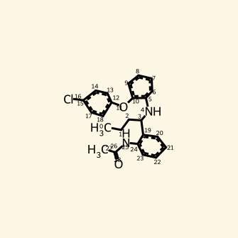 CCCC(Nc1ccccc1Oc1ccc(Cl)cc1)c1ccccc1NC(C)=O